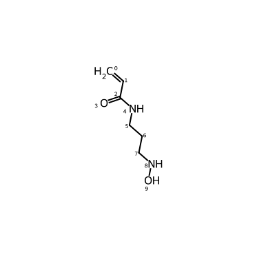 C=CC(=O)NCCCNO